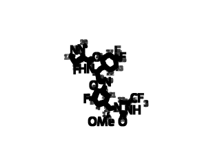 COC[C@H](c1cc(F)c2oc([C@@H](NC(=O)c3c(F)cnn3C)C3CCC(F)(F)CC3)nc2c1)N1C[C@@H](C(F)(F)F)NC1=O